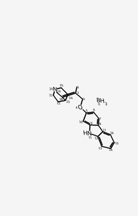 B.CC(COc1ccc2c(c1)[nH]c1ccccc12)=C1CN2CCC1CC2